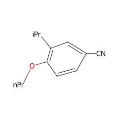 [CH2]C(C)c1cc(C#N)ccc1OCCC